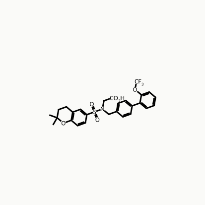 CC1(C)CCc2cc(S(=O)(=O)N(CC(=O)O)Cc3ccc(-c4ccccc4OC(F)(F)F)cc3)ccc2O1